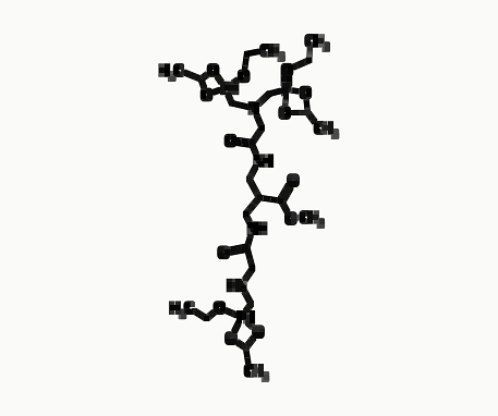 CCO[PH]1(CNCC(=O)NCC(CNC(=O)CN(C[PH]2(OCC)OC(C)O2)C[PH]2(OCC)OC(C)O2)C(=O)OC)OC(C)O1